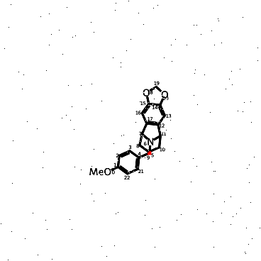 COc1ccc(CN2C3CCCC2c2cc4c(cc23)OCO4)cc1